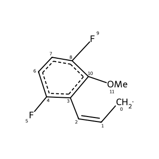 [CH2]/C=C\c1c(F)ccc(F)c1OC